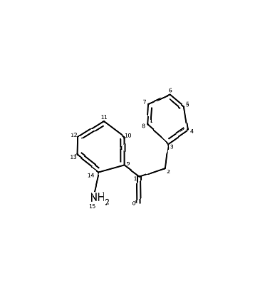 C=C(Cc1ccccc1)c1ccccc1N